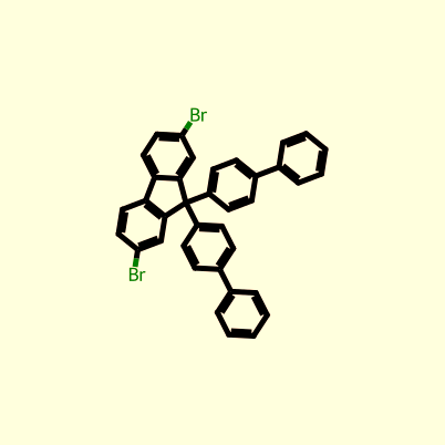 Brc1ccc2c(c1)C(c1ccc(-c3ccccc3)cc1)(c1ccc(-c3ccccc3)cc1)c1cc(Br)ccc1-2